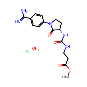 CCCCOC(=O)CCNC(=O)N[C@H]1CCN(c2ccc(C(=N)N)cc2)C1=O.Cl.O